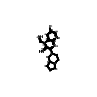 N=Cn1c(=N)c(N2CCN3CCCC3C2)nc2ncc(I)cc21